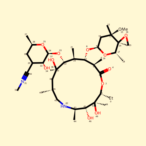 CC[C@H]1OC(=O)[C@H](C)[C@@H](O[C@H]2C[C@@](C)(OC)[C@]3(CO3)[C@H](C)O2)[C@H](C)[C@@H](O[C@@H]2O[C@H](C)CC(C#[N+]C)[C@H]2O)[C@](C)(O)C[C@@H](C)CN[C@H](C)[C@@H](O)[C@]1(C)O